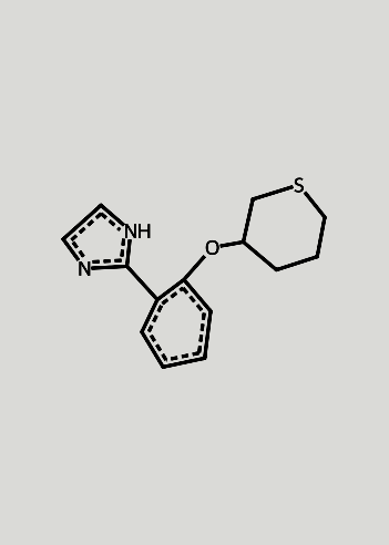 c1ccc(-c2ncc[nH]2)c(OC2CCCSC2)c1